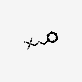 F[B-](F)(F)COCc1ccccc1